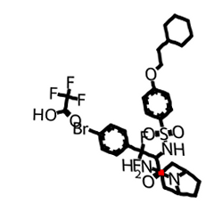 NC1CC2CCC(C1)N2C(=O)C(NS(=O)(=O)c1ccc(OCCC2CCCCC2)cc1)C(F)(F)c1ccc(Br)cc1.O=C(O)C(F)(F)F